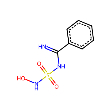 N=C(NS(=O)(=O)NO)c1ccccc1